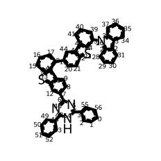 c1ccc(C2=NC(c3ccc4c(c3)sc3cccc(-c5ccc6sc7c(-n8c9ccccc9c9ccccc98)cccc7c6c5)c34)=NC(c3ccccc3)N2)cc1